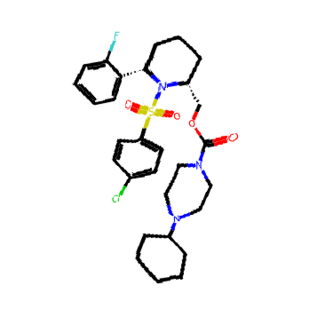 O=C(OC[C@H]1CCC[C@@H](c2ccccc2F)N1S(=O)(=O)c1ccc(Cl)cc1)N1CCN(C2CCCCC2)CC1